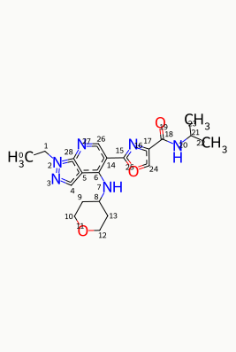 CCn1ncc2c(NC3CCOCC3)c(-c3nc(C(=O)NC(C)C)co3)cnc21